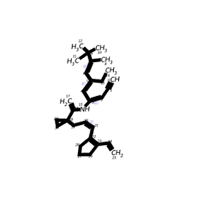 C#C\C=C(/C=C(/C=C(\C)C(C)(C)C)CC)NC(=C)C1(C/C=C\C2=C(C=C)CCC2)CC1